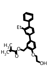 C=C(C)C(=O)OCc1cc(-c2ccc(-c3ccccc3)c(CC)c2)ccc1OCCO